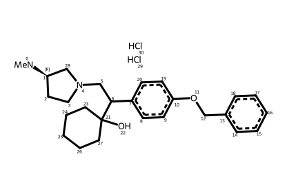 CN[C@@H]1CCN(CC(c2ccc(OCc3ccccc3)cc2)C2(O)CCCCC2)C1.Cl.Cl